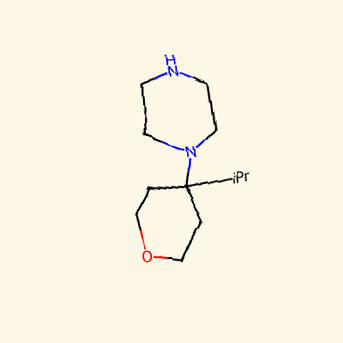 CC(C)C1(N2CCNCC2)CCOCC1